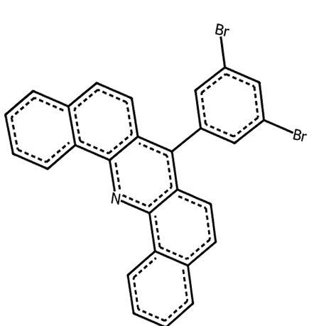 Brc1cc(Br)cc(-c2c3ccc4ccccc4c3nc3c2ccc2ccccc23)c1